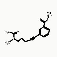 COC(=O)c1cccc(C#CCCCN(C)C(C)=O)c1